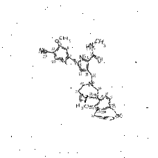 CNC(=O)c1nn(-c2cc(OC)c(C#N)cn2)cc1CN1CCN[C@H](c2ccc3c(c2C)COC3=O)C1